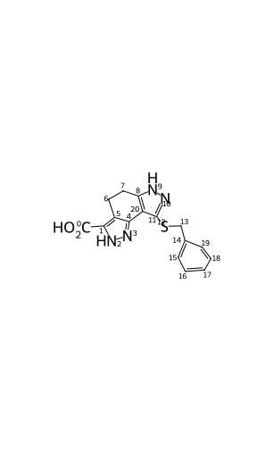 O=C(O)c1[nH]nc2c1CCc1[nH]nc(SCc3ccccc3)c1-2